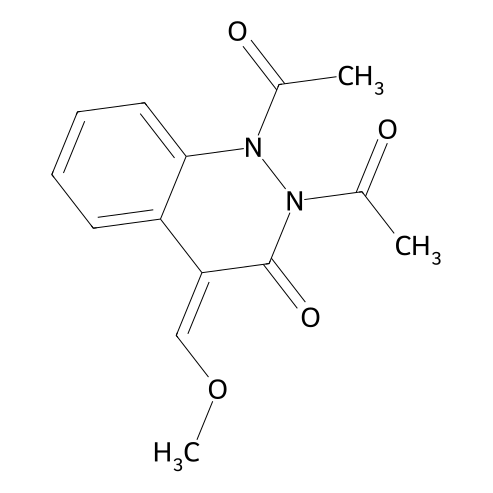 COC=C1C(=O)N(C(C)=O)N(C(C)=O)c2ccccc21